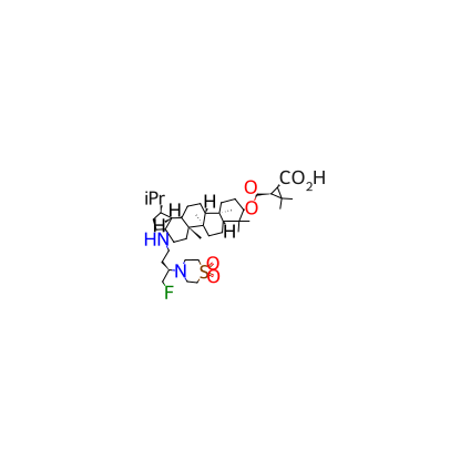 CC(C)[C@@H]1CC[C@]2(NCC[C@H](CF)N3CCS(=O)(=O)CC3)CC[C@]3(C)[C@H](CC[C@@H]4[C@@]5(C)CC[C@H](OC(=O)[C@H]6[C@@H](C(=O)O)C6(C)C)C(C)(C)[C@@H]5CC[C@]43C)[C@@H]12